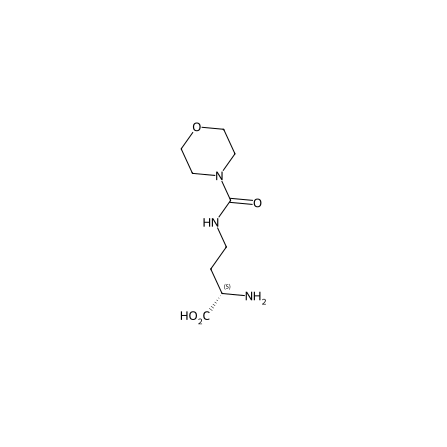 N[C@@H](CCNC(=O)N1CCOCC1)C(=O)O